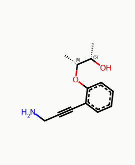 C[C@H](O)[C@@H](C)Oc1ccccc1C#CCN